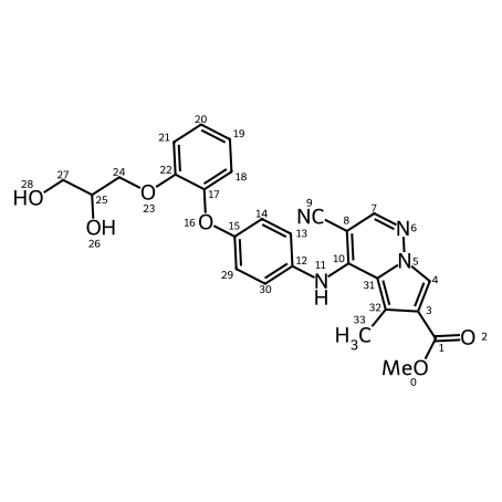 COC(=O)c1cn2ncc(C#N)c(Nc3ccc(Oc4ccccc4OCC(O)CO)cc3)c2c1C